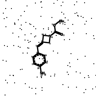 CC(C)(C)OC(=O)N1CC(=Cc2ccc(N)cc2)C1